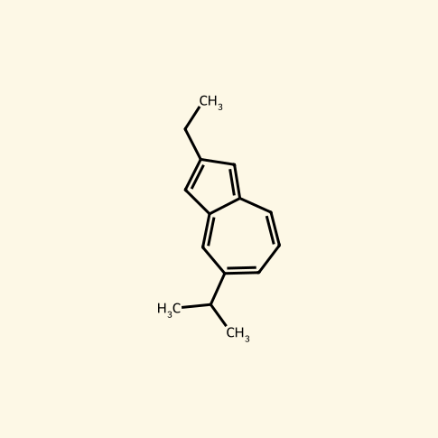 CCc1cc2cccc(C(C)C)cc-2c1